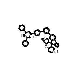 C1=CC2=C(CN1)C1(C3=C(O2)C2CN2C3)c2ccccc2-c2ccc(-c3cccc(-c4ccc(C5=CC(c6ccccc6)NC(c6ccccc6)N5)cc4)c3)cc21